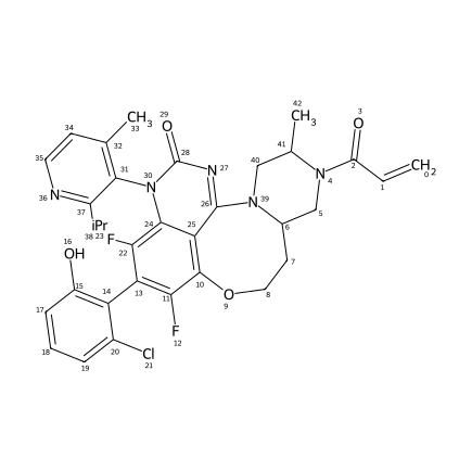 C=CC(=O)N1CC2CCOc3c(F)c(-c4c(O)cccc4Cl)c(F)c4c3c(nc(=O)n4-c3c(C)ccnc3C(C)C)N2CC1C